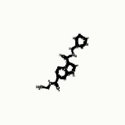 CCOC(=O)c1ccn2c(C(=O)OCc3ccccc3)cnc2c1